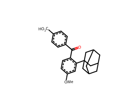 COc1ccc(C(=O)c2ccc(C(=O)O)cc2)c(C23CC4CC(CC(C4)C2)C3)c1